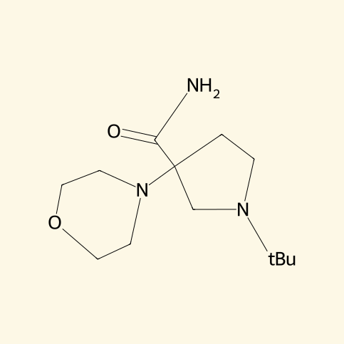 CC(C)(C)N1CCC(C(N)=O)(N2CCOCC2)C1